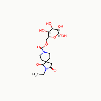 CCN1C(=O)CC2(CCN(C(=O)OCC3O[C@@H](O)[C@@H](O)C(O)[C@@H]3O)CC2)C1=O